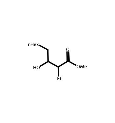 CCCCCCCC(O)C(CC)C(=O)OC